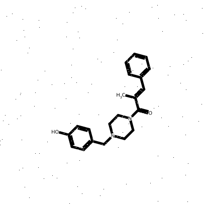 C/C(=C\c1ccccc1)C(=O)N1CCN(Cc2ccc(O)cc2)CC1